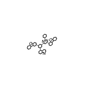 c1ccc(-c2nc(-c3cc(-c4ccc5oc6ccccc6c5c4)cc(-c4cccc5ncccc45)c3)cc(-c3cccc4c3oc3ccccc34)n2)cc1